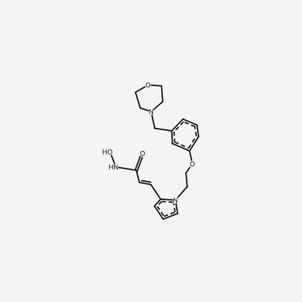 O=C(/C=C/c1cccn1CCOc1cccc(CN2CCOCC2)c1)NO